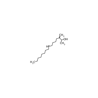 C=C(CCCCPCCCCCCCC)C(C)O